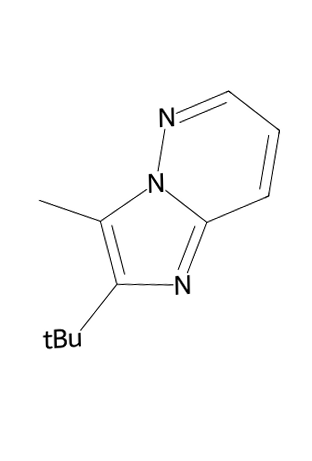 Cc1c(C(C)(C)C)nc2cccnn12